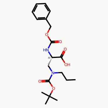 CCCN(C[C@H](NC(=O)OCc1ccccc1)C(=O)O)C(=O)OC(C)(C)C